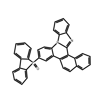 O=P1(c2ccc3c(c2)c2ccc4ccccc4c2c2nc4ccccc4n32)c2ccccc2-c2ccccc21